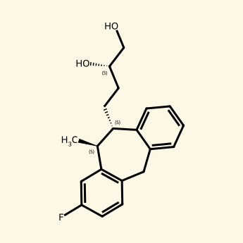 C[C@@H]1c2cc(F)ccc2Cc2ccccc2[C@H]1CC[C@H](O)CO